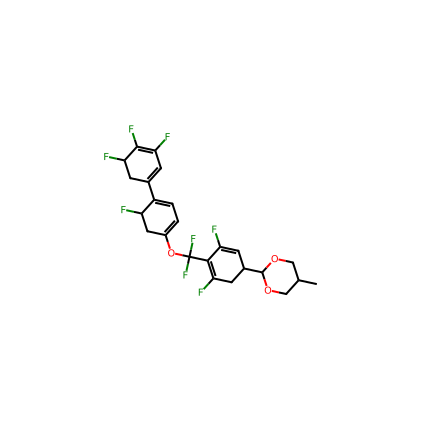 CC1COC(C2C=C(F)C(C(F)(F)OC3=CC=C(C4=CC(F)=C(F)C(F)C4)C(F)C3)=C(F)C2)OC1